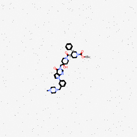 CN1CCN(Cc2cccc(-n3ccc4c(=O)n(CC5(O)CCN(C(=O)[C@@H]6CCN(C(=O)OC(C)(C)C)C[C@H]6c6ccccc6)CC5)cnc43)c2)CC1